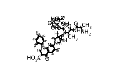 CC(C(=O)NC(=O)[C@H](C)N)N(C(=O)OC(P(=O)(O)O)P(=O)(O)O)[C@H]1[C@@H]2CN(c3nc4c(cc3F)C(=O)C(C(=O)O)CN4c3ccc(F)cc3F)C[C@@H]21